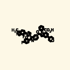 Cn1ncc2c(F)c(-n3ccn(-c4c(-c5ccc(F)cc5)nn5c4CN(C(=O)c4cc6cc(C7CCOCC7)ccc6n4-c4ccccc4C(=O)O)CC5)c3=O)ccc21